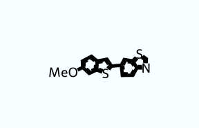 COc1ccc2cc(-c3ccc4ncsc4c3)sc2c1